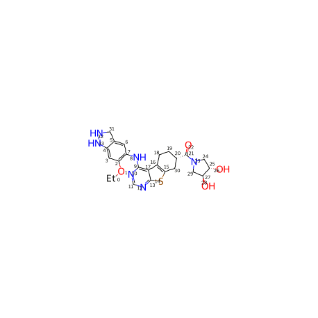 CCOc1cc2c(cc1Nc1ncnc3sc4c(c13)CC[C@H](C(=O)N1C[C@H](O)[C@@H](O)C1)C4)CNN2